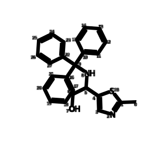 Cc1ncc(C(CO)NC(c2ccccc2)(c2ccccc2)c2ccccc2)s1